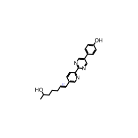 CC(O)CCC/C=C/c1ccc(-c2ncc(-c3ccc(O)cc3)cn2)nc1